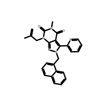 C=C(C)Cn1c(=O)n(C)c(=O)c2c(-c3ccccn3)n(Cc3cccc4ccccc34)nc21